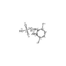 Fc1ccc(F)cc1.NN.O=S(=O)(O)O